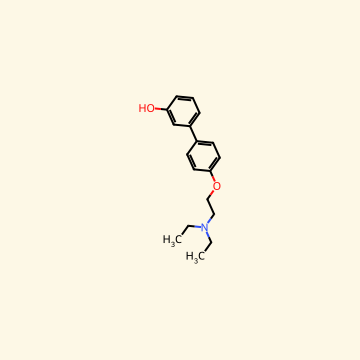 CCN(CC)CCOc1ccc(-c2cccc(O)c2)cc1